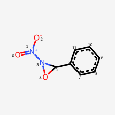 O=[N+]([O-])N1OC1c1ccccc1